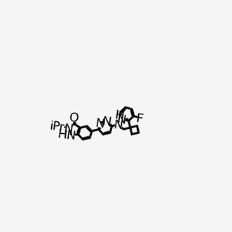 CC(C)n1[nH]c2ccc(-c3ccc(NCC4(c5ncccc5F)CCC4)nn3)cc2c1=O